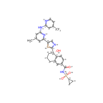 Cc1cc(Nc2cc(C(F)(F)F)ccn2)nc(-c2cnc([C@]3(O)CCCc4cc(C(=O)NS(=O)(=O)C5CC5)ccc43)s2)c1